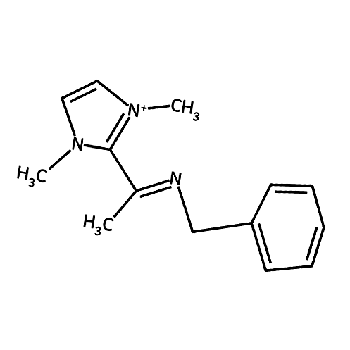 C/C(=N\Cc1ccccc1)c1n(C)cc[n+]1C